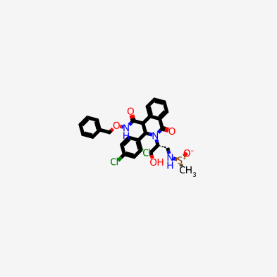 C[S+]([O-])NC[C@H](CO)N1C(=O)c2ccccc2C(C(=O)NOCc2ccccc2)C1c1ccc(Cl)cc1Cl